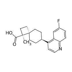 C[C@]1(C(=O)O)CC[C@]12CC[C@H](c1ccnc3ccc(F)cc31)CC2